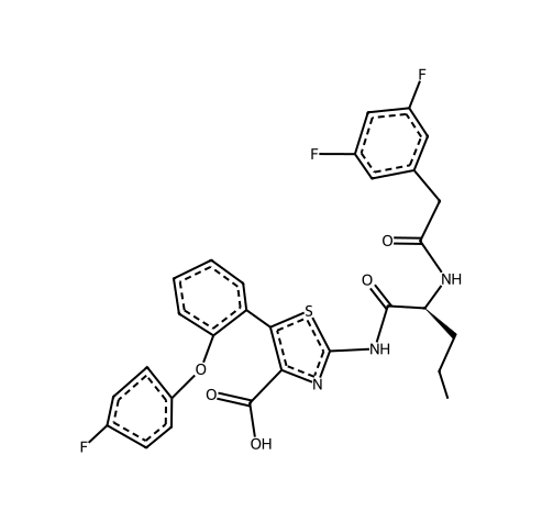 CCC[C@H](NC(=O)Cc1cc(F)cc(F)c1)C(=O)Nc1nc(C(=O)O)c(-c2ccccc2Oc2ccc(F)cc2)s1